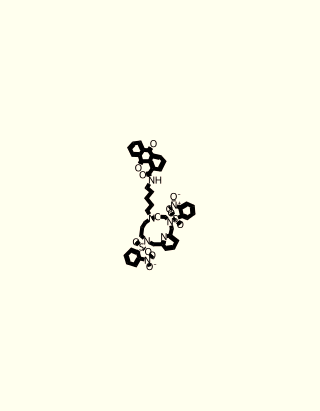 O=C(NCCCCCN1CCCN(S(=O)(=O)c2ccccc2[N+](=O)[O-])Cc2cccc(n2)CN(S(=O)(=O)c2ccccc2[N+](=O)[O-])CC1)c1cccc2c1C(=O)c1ccccc1C2=O